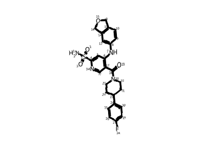 NS(=O)(=O)c1cc(Nc2ccc3c(c2)COC3)c(C(=O)N2CCC(c3ccc(F)cc3)CC2)cn1